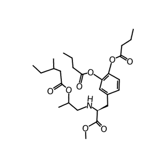 CCCC(=O)Oc1ccc(C[C@H](NCC(C)OC(=O)CC(C)CC)C(=O)OC)cc1OC(=O)CCC